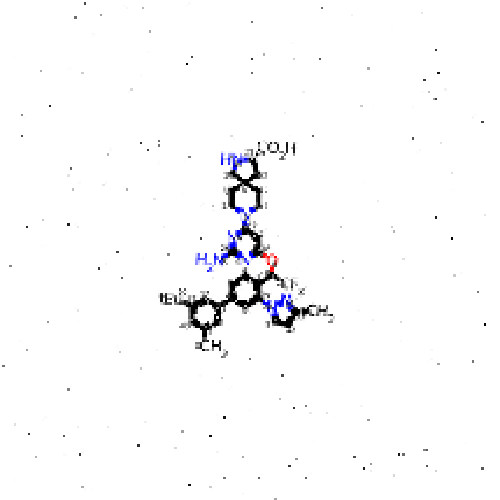 Cc1cc(-c2ccc(C(Oc3cc(N4CCC5(CC4)CN[C@H](C(=O)O)C5)nc(N)n3)C(F)(F)F)c(-n3ccc(C)n3)c2)cc(C(C)(C)C)c1